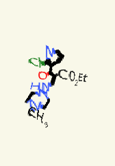 CCOC(=O)C(=CNN1CCN(C)CC1)C(=O)c1cccnc1Cl